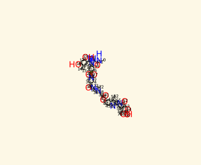 CCNC(=O)c1nnc(-c2cc(C(C)C)c(O)cc2O)n1-c1ccc(S(=O)(=O)N2CCC(C(=O)N3CCN(CCC(=O)Oc4ccc5nc6c(c(CC)c5c4)Cn4c-6cc5c(c4=O)COC(=O)C5(O)CC)C(C)C3)CC2)cc1